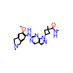 CNC(=O)C1(C)CC(n2ncc3cnc(Nc4cc5c(cc4OC)CCN(C)C5)nc32)C1